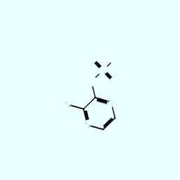 CS(=O)(=O)Oc1nccnc1N